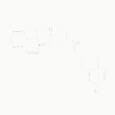 COc1ncc(Br)cc1/C=C/CNC1CCN(CC2Cn3c(=O)ccc4ncc(=O)n2c43)CC1